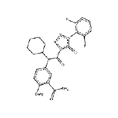 COc1ccc(N(C(=O)n2nnn(-c3c(F)cccc3F)c2=O)C2CCCCC2)cc1C(N)=O